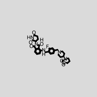 O=C1CCC(N2C(=O)c3cccc(NCc4ccc(CN5CCC(N6CCCS6(=O)=O)CC5)cc4F)c3C2O)C(=O)N1